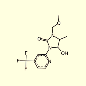 COCN1C(=O)N(c2cc(C(F)(F)F)ccn2)C(O)C1C